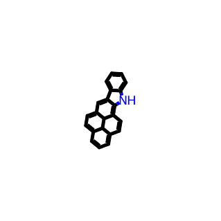 C1=CC2=CC=C3C=c4c([nH]c5ccccc45)=C4C=CC(=C1)C2C34